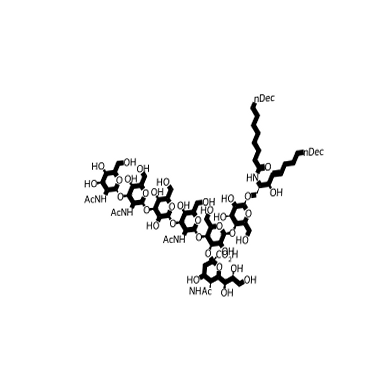 CCCCCCCCCCCCC/C=C/[C@@H](O)[C@H](CO[C@@H]1OC(CO)[C@@H](O[C@@H]2OC(CO)[C@H](O[C@@H]3OC(CO)[C@H](O)[C@H](O[C@@H]4OC(CO)[C@H](O)[C@H](O[C@@H]5OC(CO)[C@H](O)[C@H](O[C@H]6OC(CO)[C@H](O)[C@H](O)C6NC(C)=O)C5NC(C)=O)C4O)C3NC(C)=O)[C@H](O[C@]3(C(=O)O)CC(O)[C@@H](NC(C)=O)C([C@H](O)[C@H](O)CO)O3)C2O)[C@H](O)C1O)NC(=O)CCCCCCCCCCCCCCCCC